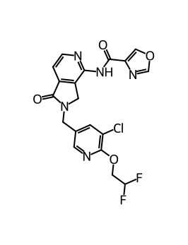 O=C(Nc1nccc2c1CN(Cc1cnc(OCC(F)F)c(Cl)c1)C2=O)c1cocn1